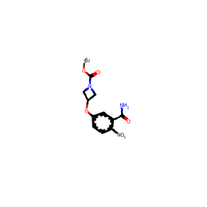 CC(C)(C)OC(=O)N1CC(Oc2ccc([N+](=O)[O-])c(C(N)=O)c2)C1